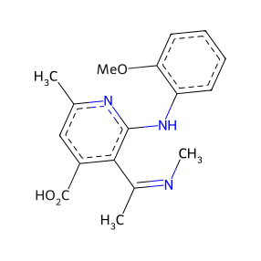 C/N=C(/C)c1c(C(=O)O)cc(C)nc1Nc1ccccc1OC